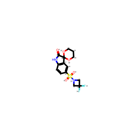 O=C1Nc2ccc(S(=O)(=O)N3CC(F)(F)C3)cc2C12OCCCO2